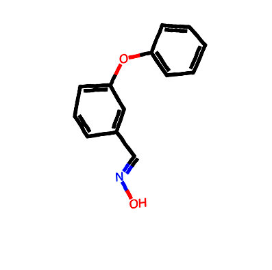 ON=Cc1cccc(Oc2ccccc2)c1